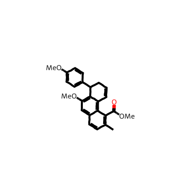 COC(=O)c1c(C)ccc2cc(OC)c3c(c12)C=CCC3c1ccc(OC)cc1